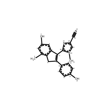 Cc1cc(O)cc2c1CC(c1ccc(O)cc1)=C2c1nc(C#N)cn1C